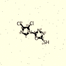 Sc1nnc(-n2cnc(Cl)c2Cl)o1